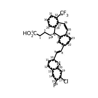 O=C(O)CCSC1c2cc(C=Cc3ccc4cc(F)c(Cl)cc4n3)ccc2C=Cc2c1cccc2C(F)(F)F